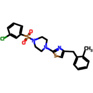 Cc1ccccc1Cc1csc(N2CCN(S(=O)(=O)c3cccc(Cl)c3)CC2)n1